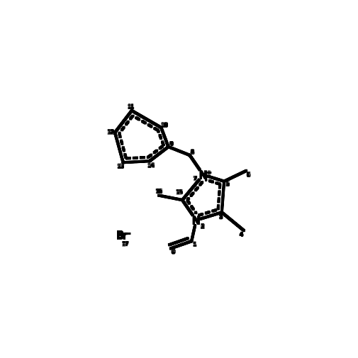 C=Cn1c(C)c(C)[n+](Cc2ccccc2)c1C.[Br-]